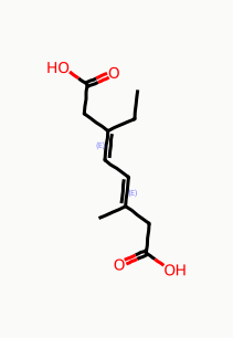 CC/C(=C\C=C(/C)CC(=O)O)CC(=O)O